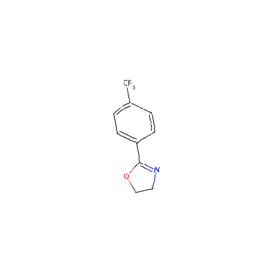 FC(F)(F)c1ccc(C2=NCCO2)cc1